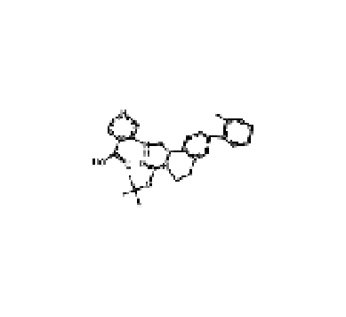 Cc1ccccc1-c1ccc2c(c1)CCN(C(=O)OC(C)(C)C)[C@H]2CNc1cnccc1C(=O)O